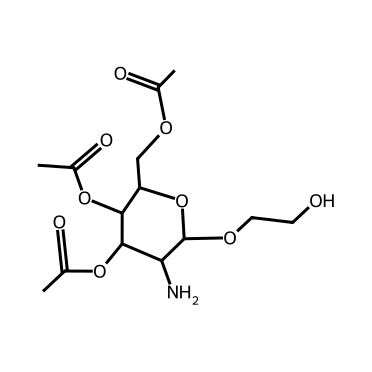 CC(=O)OCC1OC(OCCO)C(N)C(OC(C)=O)C1OC(C)=O